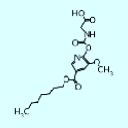 CCCCCCCOC(=O)c1cnc(OC(=O)NCC(=O)O)c(OC)c1